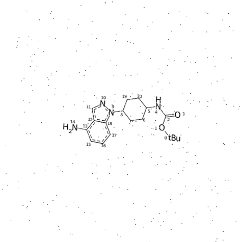 CC(C)(C)OC(=O)NC1CCC(n2ncc3c(N)cccc32)CC1